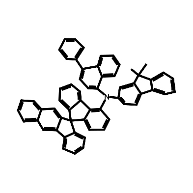 CC1(C)c2ccccc2-c2ccc(N(c3cccc4c3-c3ccccc3C43c4ccccc4-c4cc5ccccc5cc43)c3ccc(-c4ccccc4)c4ccccc34)cc21